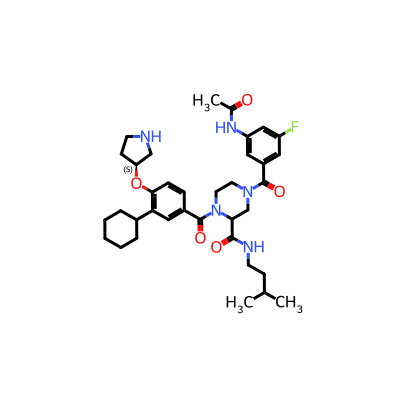 CC(=O)Nc1cc(F)cc(C(=O)N2CCN(C(=O)c3ccc(O[C@H]4CCNC4)c(C4CCCCC4)c3)C(C(=O)NCCC(C)C)C2)c1